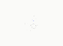 CCC1CCc2ccc(Cl)c(C)c2N1